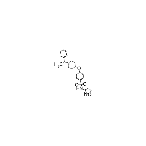 CC(c1ccccc1)N1CCC(Oc2ccc(S(=O)(=O)Nc3ccon3)cc2)CC1